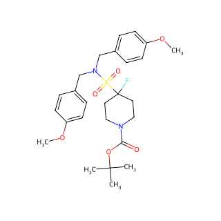 COc1ccc(CN(Cc2ccc(OC)cc2)S(=O)(=O)C2(F)CCN(C(=O)OC(C)(C)C)CC2)cc1